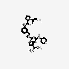 C=CC(=O)N1CCCC1C(=O)Nc1cccc(CNc2nc(NC3CCOCC3)nc3c(C(C)C)cnn23)c1